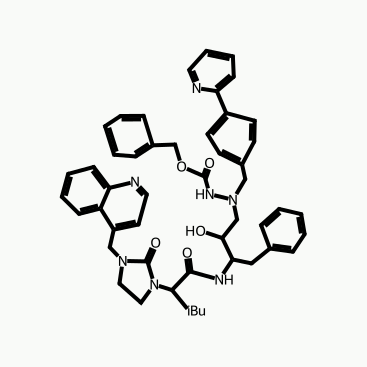 CCC(C)C(C(=O)NC(Cc1ccccc1)C(O)CN(Cc1ccc(-c2ccccn2)cc1)NC(=O)OCc1ccccc1)N1CCN(Cc2ccnc3ccccc23)C1=O